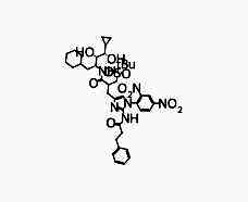 CC(C)(C)S(=O)(=O)CC(Cc1cn(-c2ccc([N+](=O)[O-])cc2[N+](=O)[O-])c(NC(=O)CCc2ccccc2)n1)C(=O)N[C@@H](CC1CCCCC1)[C@@H](O)[C@@H](O)C1CC1